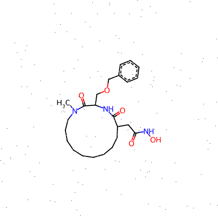 CN1CCCCCCCCCC(CC(=O)NO)C(=O)NC(COCc2ccccc2)C1=O